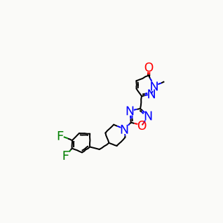 Cn1nc(-c2noc(N3CCC(Cc4ccc(F)c(F)c4)CC3)n2)ccc1=O